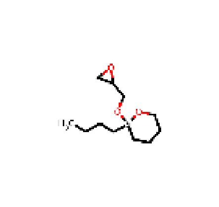 CCCC[Si]1(OCC2CO2)CCCCO1